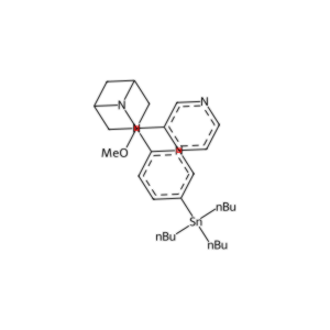 CCC[CH2][Sn]([CH2]CCC)([CH2]CCC)[c]1ccc(N2CC3CC(C2)N3C(OC)c2cccnc2)nc1